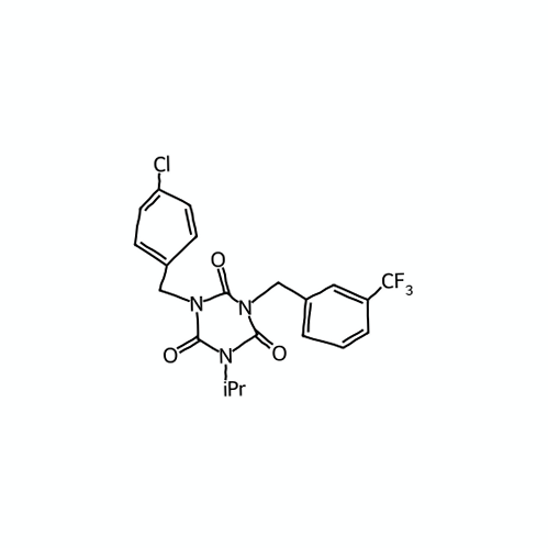 CC(C)n1c(=O)n(Cc2ccc(Cl)cc2)c(=O)n(Cc2cccc(C(F)(F)F)c2)c1=O